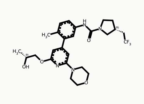 Cc1ccc(NC(=O)N2CC[C@H](CC(F)(F)F)C2)cc1-c1cc(OC[C@@H](C)O)nc(N2CCOCC2)c1